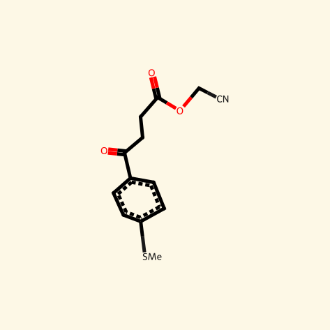 CSc1ccc(C(=O)CCC(=O)OCC#N)cc1